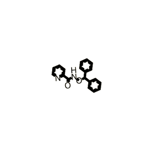 O=C(NOC(c1ccccc1)c1ccccc1)c1ccccn1